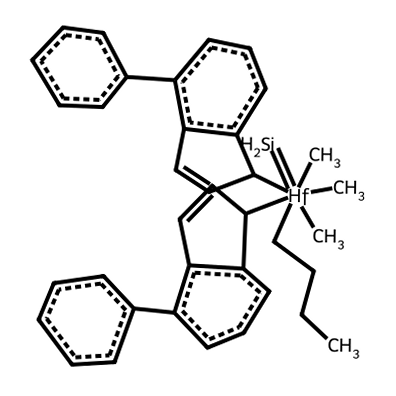 CCC[CH2][Hf]([CH3])([CH3])([CH3])(=[SiH2])([CH]1C=Cc2c(-c3ccccc3)cccc21)[CH]1C=Cc2c(-c3ccccc3)cccc21